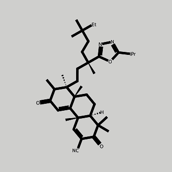 CCC(C)(C)CC[C@@](C)(CC[C@]1(C)C(C)C(=O)C=C2[C@@]3(C)C=C(C#N)C(=O)C(C)(C)[C@@H]3CC[C@]21C)c1nnc(C(C)C)o1